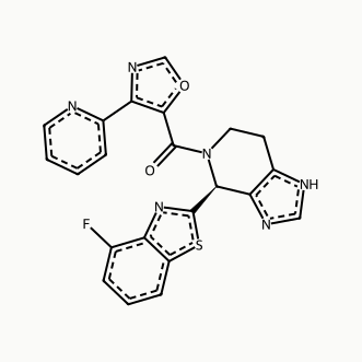 O=C(c1ocnc1-c1ccccn1)N1CCc2[nH]cnc2[C@H]1c1nc2c(F)cccc2s1